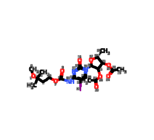 COC(C)(C)CCOC(=O)Nc1nc(=O)n([C@@H]2O[C@H](C)C(OC(C)=O)C2OC(C)=O)cc1I